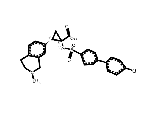 CN1CCc2ccc([C@@H]3C[C@]3(NS(=O)(=O)c3ccc(-c4ccc(Cl)cc4)cc3)C(=O)O)cc2C1